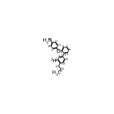 [2H]c1cc(-c2ccccc2Oc2ccc(N)cc2)ccc1CCC